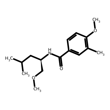 COC[C@@H](CC(C)C)NC(=O)c1ccc(OC)c(C)c1